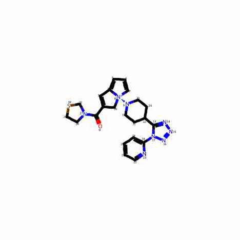 O=C(C1=CC2=CC=C[N@@+]2(N2CCC(c3nnnn3-c3ccccn3)CC2)C1)N1CCSC1